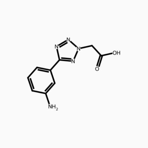 Nc1cccc(-c2nnn(CC(=O)O)n2)c1